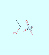 CCO.[O]=[Os](=[O])(=[O])=[O]